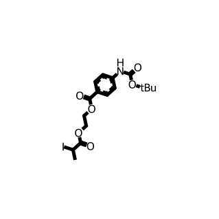 CC(I)C(=O)OCCOC(=O)c1ccc(NC(=O)OC(C)(C)C)cc1